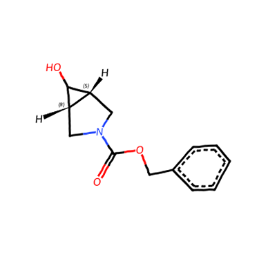 O=C(OCc1ccccc1)N1C[C@@H]2C(O)[C@@H]2C1